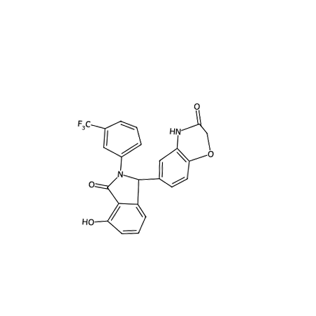 O=C1COc2ccc(C3c4cccc(O)c4C(=O)N3c3cccc(C(F)(F)F)c3)cc2N1